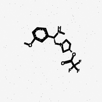 CN[C@H](CN1CC[C@H](OC(=O)C(F)(F)F)C1)c1cccc(OC)c1